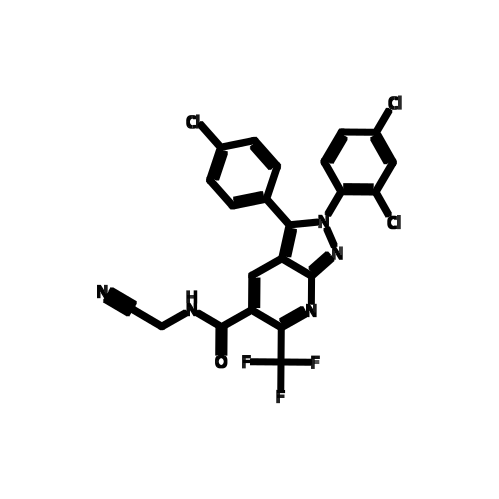 N#CCNC(=O)c1cc2c(-c3ccc(Cl)cc3)n(-c3ccc(Cl)cc3Cl)nc2nc1C(F)(F)F